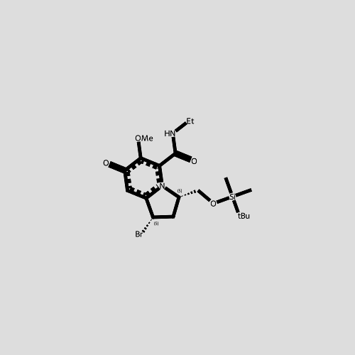 CCNC(=O)c1c(OC)c(=O)cc2n1[C@H](CO[Si](C)(C)C(C)(C)C)C[C@@H]2Br